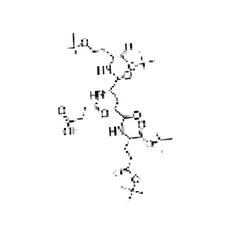 CC(C)(C)OCCC(NC(=O)C(CCC(=O)NC(CCC(=O)OC(C)(C)C)C(=O)OC(C)(C)C)NC(=O)CCC(=O)O)C(=O)OC(C)(C)C